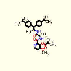 COc1ccnc(C(=O)N[C@@H](C)C(=O)N[C@@H](C)C(c2ccc(C(C)C)cc2)c2ccc(C(C)C)cc2)c1OC(=O)C(C)C